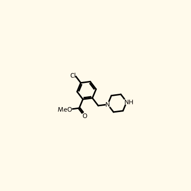 COC(=O)c1cc(Cl)ccc1CN1CCNCC1